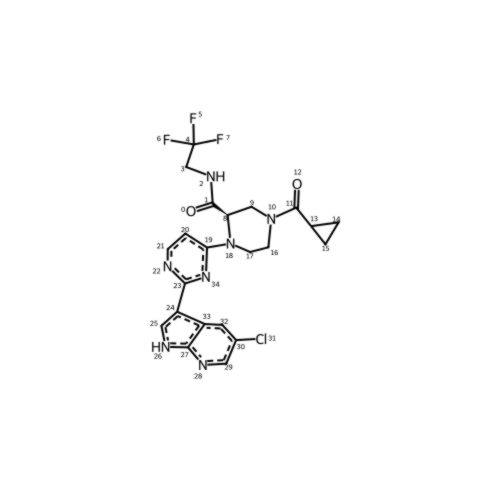 O=C(NCC(F)(F)F)[C@H]1CN(C(=O)C2CC2)CCN1c1ccnc(-c2c[nH]c3ncc(Cl)cc23)n1